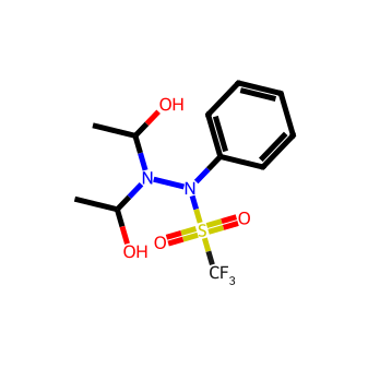 CC(O)N(C(C)O)N(c1ccccc1)S(=O)(=O)C(F)(F)F